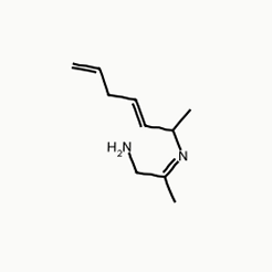 C=CCC=CC(C)/N=C(/C)CN